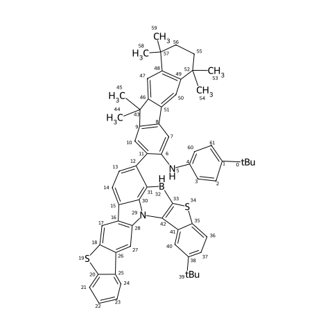 CC(C)(C)c1ccc(Nc2cc3c(cc2-c2ccc4c5cc6sc7ccccc7c6cc5n5c4c2Bc2sc4ccc(C(C)(C)C)cc4c2-5)C(C)(C)c2cc4c(cc2-3)C(C)(C)CCC4(C)C)cc1